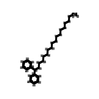 CCCCCCCCCCCCCCCCCC(c1ccccc1)c1ccccc1